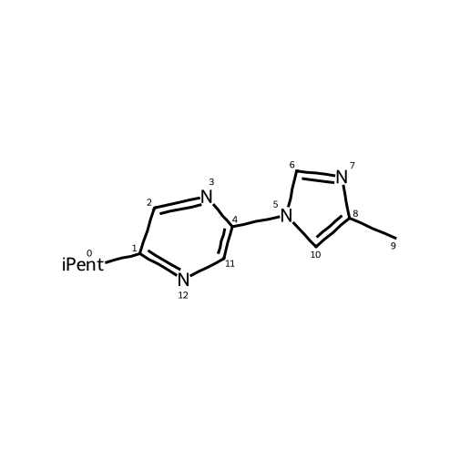 CCCC(C)c1cnc(-n2cnc(C)c2)cn1